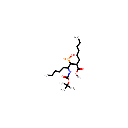 CCCCCCC(C(=O)OC)C(C(CCCCC)NC(=O)OC(C)(C)C)[PH](=O)O